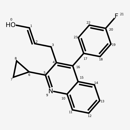 OC=CCc1c(C2CC2)nc2ccccc2c1-c1ccc(F)cc1